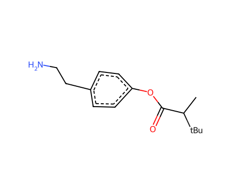 CC(C(=O)Oc1ccc(CCN)cc1)C(C)(C)C